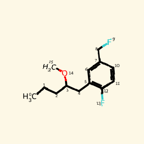 CCCC(Cc1cc(CF)ccc1F)OC